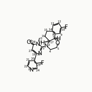 Cn1c(N2CCO[C@H]3c4cc(F)ccc4CC[C@H]32)nc(-c2ccncc2F)cc1=O